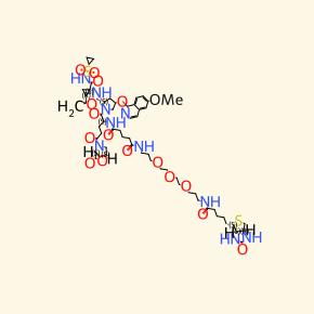 C=C[C@H]1C[C@@]1(NC(=O)[C@@H]1CC(Oc2nccc3cc(OC)ccc23)CN1C(=O)[C@H](CCC(=O)N1C[C@@H]2C[C@H]1C(=O)O2)NC(=O)CCCC(=O)NCCCOCCOCCOCCCNC(=O)CCCC[C@@H]1SC[C@@H]2NC(=O)N[C@@H]21)C(=O)NS(=O)(=O)C1CC1